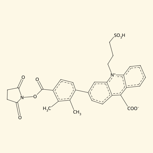 Cc1c(C(=O)ON2C(=O)CCC2=O)ccc(-c2ccc3c(C(=O)[O-])c4ccccc4[n+](CCCS(=O)(=O)O)c3c2)c1C